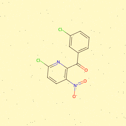 O=C(c1cccc(Cl)c1)c1nc(Cl)ccc1[N+](=O)[O-]